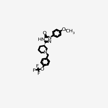 COc1ccc(-n2nc([C@H]3CCCN(Cc4ccc(OC(F)(F)F)cc4)C3)[nH]c2=O)cc1